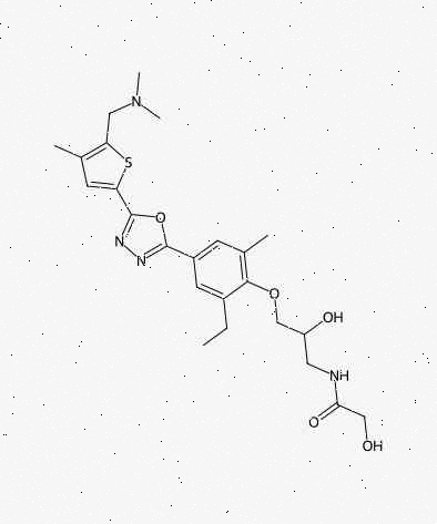 CCc1cc(-c2nnc(-c3cc(C)c(CN(C)C)s3)o2)cc(C)c1OCC(O)CNC(=O)CO